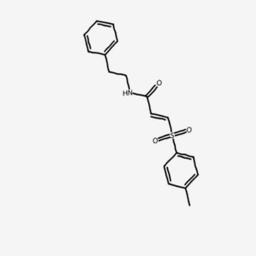 Cc1ccc(S(=O)(=O)/C=C/C(=O)NCCc2ccccc2)cc1